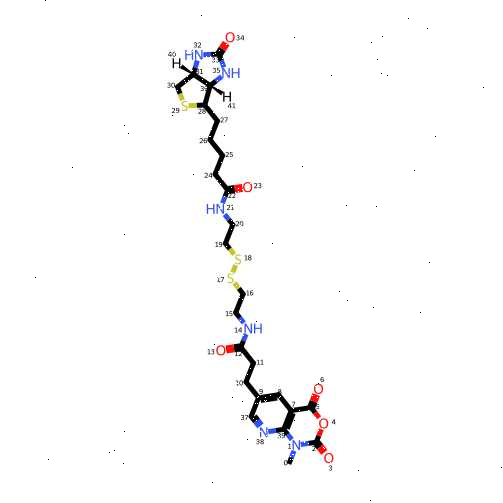 Cn1c(=O)oc(=O)c2cc(CCC(=O)NCCSSCCNC(=O)CCCCC3SC[C@@H]4NC(=O)N[C@H]34)cnc21